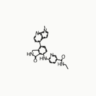 CCNC(=O)c1ccc(Nc2ccc(-c3ccnc4c3ccn4C)c3c2C(=O)NC3)nc1